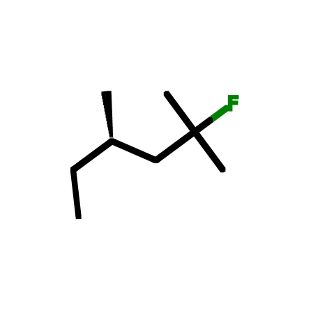 CC[C@H](C)CC(C)(C)F